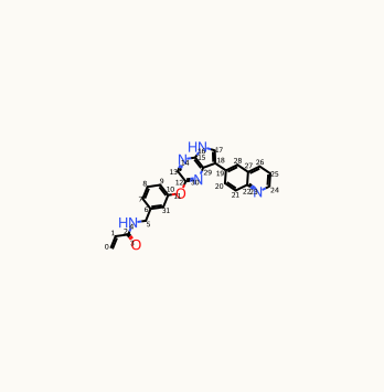 C=CC(=O)NCc1cccc(Oc2cnc3[nH]cc(-c4ccc5ncccc5c4)c3n2)c1